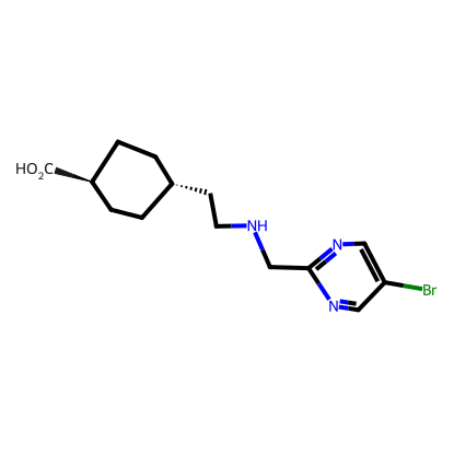 O=C(O)[C@H]1CC[C@H](CCNCc2ncc(Br)cn2)CC1